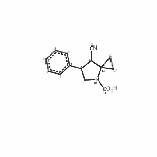 N#CC1C(c2ccccc2)CN(C(=O)O)C12CC2